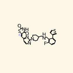 O=C1NC(=O)/C(=C\c2ccnc(N3CCC(CNCc4c(F)cccc4-c4ccsc4)CC3)n2)S1